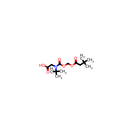 CC(C)(C)CC(=O)OCOC(=O)N(CC(=O)O)C(C)(C)C